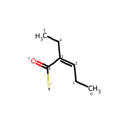 CCC=C(CC)C(=O)[S]